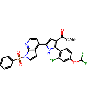 COC(=O)c1cc(-c2ccnc3c2ccn3S(=O)(=O)c2ccccc2)[nH]c1-c1ccc(OC(F)F)cc1Cl